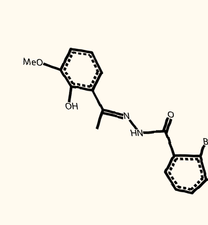 COc1cccc(/C(C)=N/NC(=O)c2ccccc2Br)c1O